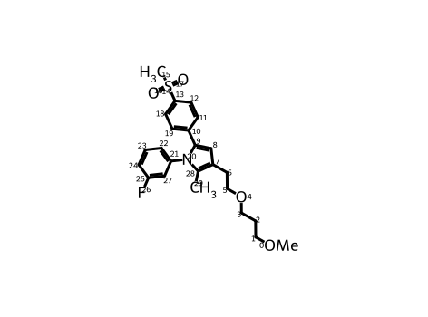 COCCCOCCc1cc(-c2ccc(S(C)(=O)=O)cc2)n(-c2cccc(F)c2)c1C